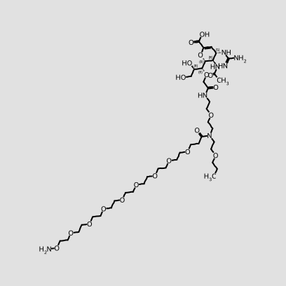 CCCOCCN(CCOCCNC(=O)CO[C@@H]([C@@H]1OC(C(=O)O)=C[C@H](NC(=N)N)[C@H]1NC(C)=O)[C@H](O)CO)C(=O)CCOCCOCCOCCOCCOCCOCCOCCOCCON